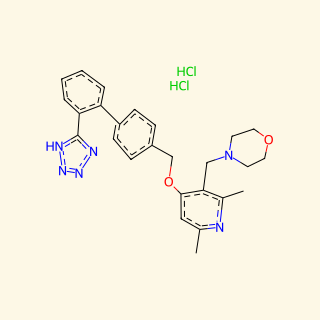 Cc1cc(OCc2ccc(-c3ccccc3-c3nnn[nH]3)cc2)c(CN2CCOCC2)c(C)n1.Cl.Cl